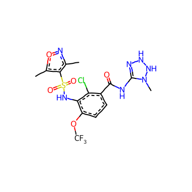 Cc1noc(C)c1S(=O)(=O)Nc1c(OC(F)(F)F)ccc(C(=O)NC2=NNNN2C)c1Cl